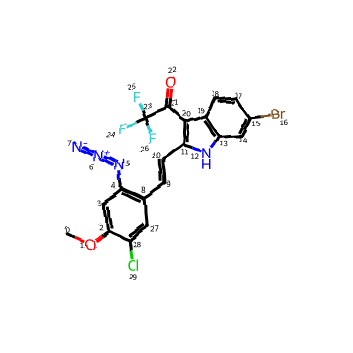 COc1cc(N=[N+]=[N-])c(C=Cc2[nH]c3cc(Br)ccc3c2C(=O)C(F)(F)F)cc1Cl